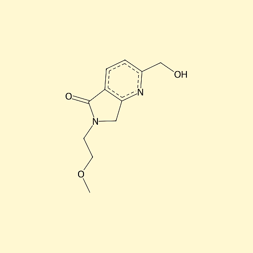 COCCN1Cc2nc(CO)ccc2C1=O